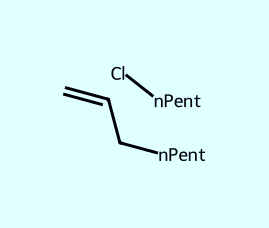 C=CCCCCCC.CCCCCCl